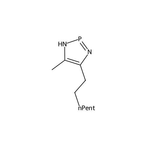 CCCCCCCc1np[nH]c1C